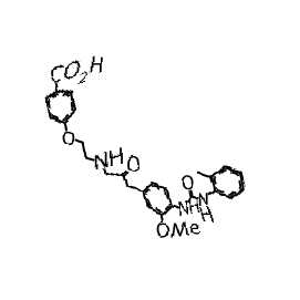 COc1cc(CC(=O)CNCCOc2ccc(C(=O)O)cc2)ccc1NC(=O)Nc1ccccc1C